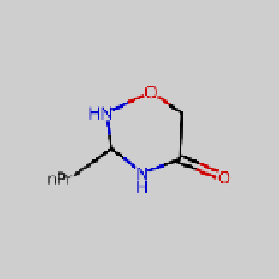 CCCC1NOCC(=O)N1